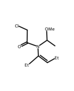 CCC=C(CC)N(C(=O)CCl)C(C)OC